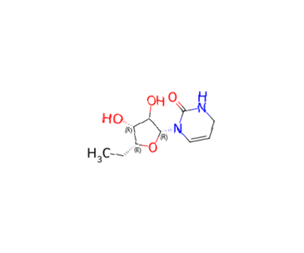 CC[C@H]1O[C@@H](N2C=CCNC2=O)C(O)[C@H]1O